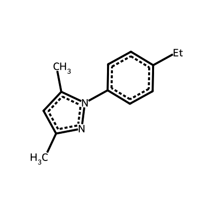 CCc1ccc(-n2nc(C)cc2C)cc1